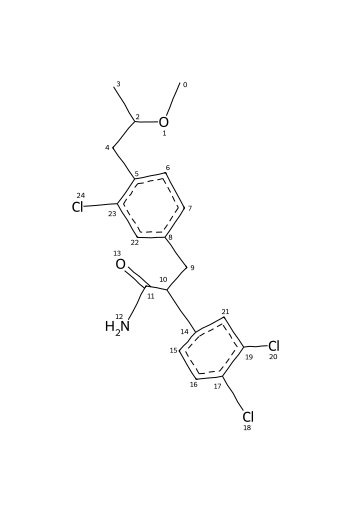 COC(C)Cc1ccc(CC(C(N)=O)c2ccc(Cl)c(Cl)c2)cc1Cl